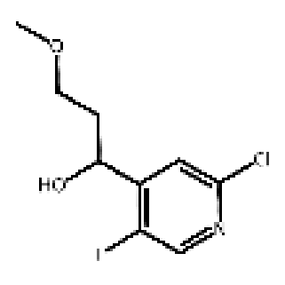 COCCC(O)c1cc(Cl)ncc1F